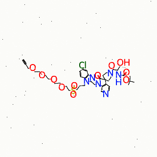 C#CCOCCOCCOCCOCCS(=O)(=O)CCCn1c(CN2C(=O)C3(CCN(C(=O)[C@@H](NC(=O)OC(C)(C)C)[C@@H](C)O)CC3)c3ccncc32)nc2cc(Cl)ccc21